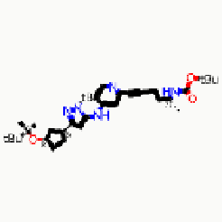 C[C@H](CCC#Cc1cc(Nc2cc([C@H]3CC[C@@H](O[Si](C)(C)C(C)(C)C)C3)nn2C(C)(C)C)ccn1)NC(=O)OC(C)(C)C